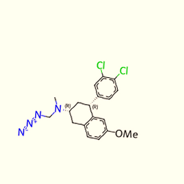 COc1ccc2c(c1)[C@@H](c1ccc(Cl)c(Cl)c1)C[C@@H](N(C)CN=[N+]=[N-])C2